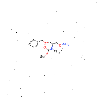 CN(C(=O)OC(C)(C)C)[C@H](CON)COCc1ccccc1